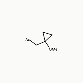 COC1(CC(C)=O)CC1